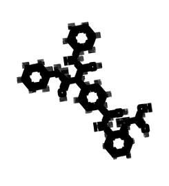 O=C(O)Nc1ccccc1NC(=O)c1ccc(C(C(=O)Nc2ccccc2)C(=O)Nc2ccccc2)cc1